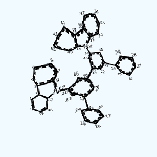 C1=CC2c3ccccc3N(c3cc(-c4ccccc4)cc(-c4cc(-c5ccccc5)cc(-n5c6ccccc6c6ccccc65)c4)c3)C2C=C1